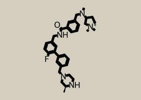 C[C@H]1CN(Cc2cccc(-c3cc(CNC(=O)c4cccc(CN(C)C5CC[N+](C)(C)C5)c4)ccc3F)c2)CCN1